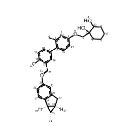 Cc1nc(OCC2(O)CCCCC2O)ccc1-c1ccc(F)c(COc2ccc3c(c2)C[C@H]2[C@H](C)[C@@H]32)c1